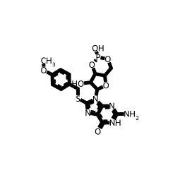 COc1ccc(CSc2nc3c(=O)[nH]c(N)nc3n2C2OC3COP(O)OC3C2O)cc1